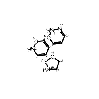 C1=CNOC=C1.C1=CONN=C1.C1COSN1